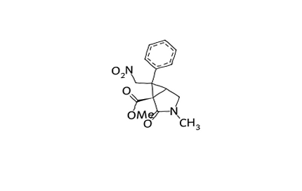 COC(=O)[C@]12C(=O)N(C)CC1C2(C[N+](=O)[O-])c1ccccc1